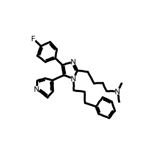 CN(C)CCCCc1nc(-c2ccc(F)cc2)c(-c2ccncc2)n1CCCc1ccccc1